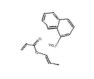 C=CC(=O)OC=CC.O=C(O)c1cccc2ccccc12